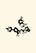 CC(=O)c1nn(CC(=O)N2[C@H](C(=O)Nc3nc(Br)ccc3C)C[C@@]3(C)C=C[C@@H]23)c2ccc(-c3cnc(C)nc3)cc12